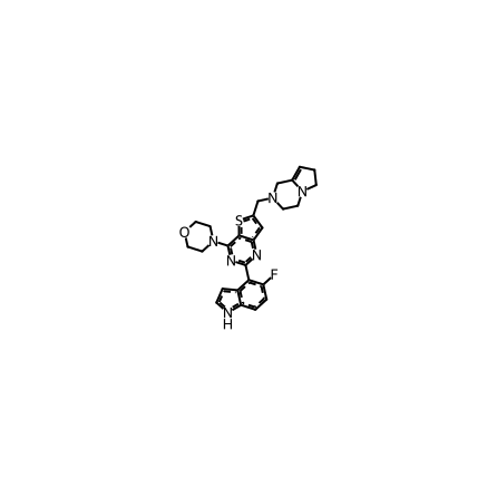 Fc1ccc2[nH]ccc2c1-c1nc(N2CCOCC2)c2sc(CN3CCN4CCC=C4C3)cc2n1